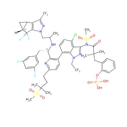 CC(Cn1nc(C(F)(F)F)c2c1C(F)(F)[C@@H]1CC21)N[C@@H](Cc1cc(F)cc(F)c1)c1nc(CCC(C)(C)S(C)(=O)=O)ccc1-c1ccc(Cl)c2c(N(C(=O)C(C)(C)Cc3ccccc3OP(=O)(O)O)S(C)(=O)=O)nn(CC(F)(F)F)c12